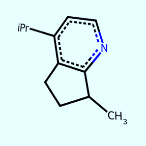 CC(C)c1ccnc2c1CCC2C